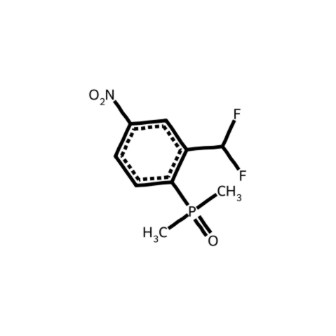 CP(C)(=O)c1ccc([N+](=O)[O-])cc1C(F)F